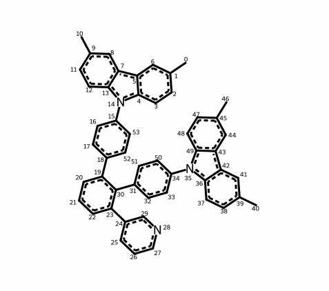 Cc1ccc2c(c1)c1cc(C)ccc1n2-c1ccc(-c2cccc(-c3cccnc3)c2-c2ccc(-n3c4ccc(C)cc4c4cc(C)ccc43)cc2)cc1